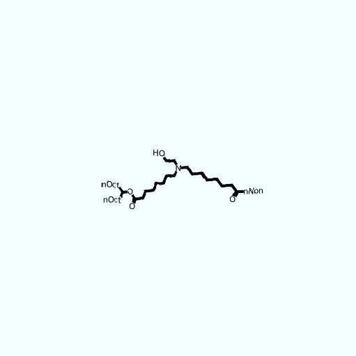 CCCCCCCCCC(=O)CCCCCCCN(CCO)CCCCCCCC(=O)OC(CCCCCCCC)CCCCCCCC